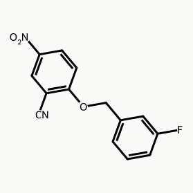 N#Cc1cc([N+](=O)[O-])ccc1OCc1cccc(F)c1